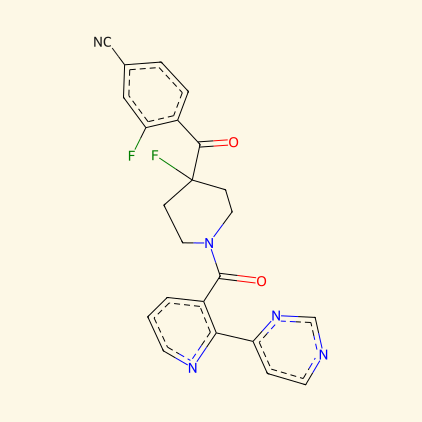 N#Cc1ccc(C(=O)C2(F)CCN(C(=O)c3cccnc3-c3ccncn3)CC2)c(F)c1